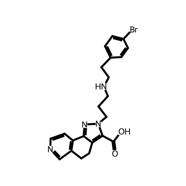 O=C(O)c1c2c(nn1CCCNCCc1ccc(Br)cc1)-c1ccncc1CC2